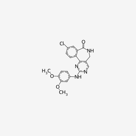 COc1ccc(Nc2ncc3c(n2)-c2ccc(Cl)cc2C(=O)NC3)cc1OC